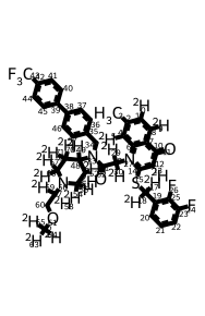 [2H]c1c(C)c([2H])c2c(c1[2H])c(=O)c([2H])c(SC([2H])([2H])c1cccc(F)c1F)n2C([2H])([2H])C(=O)N(Cc1ccc(-c2ccc(C(F)(F)F)cc2)cc1)C1([2H])C([2H])([2H])C([2H])([2H])N(C([2H])([2H])COC([2H])([2H])[2H])C([2H])([2H])C1([2H])[2H]